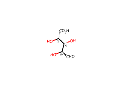 O=C[C@@H](O)[C@@H](O)[C@H](O)C(=O)O